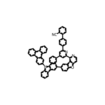 N#Cc1ccccc1-c1ccc(-c2cc(-c3ccccc3)cc(-c3nccc4oc5ccc(-c6ccc7c(c6)c6ccccc6n7-c6ccc7c8ccccc8c8ccccc8c7c6)cc5c34)n2)cc1